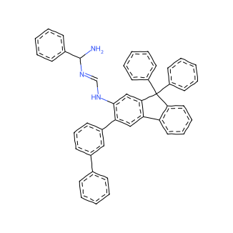 NC(/N=C/Nc1cc2c(cc1-c1cccc(-c3ccccc3)c1)-c1ccccc1C2(c1ccccc1)c1ccccc1)c1ccccc1